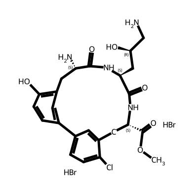 Br.Br.COC(=O)[C@@H]1Cc2cc(ccc2Cl)-c2ccc(O)c(c2)C[C@H](N)C(=O)N[C@@H](C[C@@H](O)CN)C(=O)N1